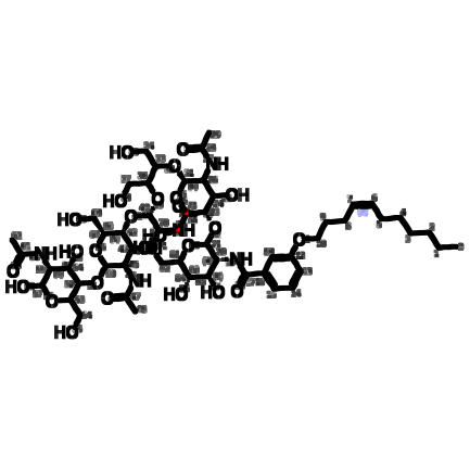 CCCCCC/C=C\CCCOc1cccc(C(=O)N[C@H]2C(O[C@H]3C(O)C(NC(C)=O)[C@H](OC(CO)C(CO)O[C@@H](O[C@H]4C(O)C(NC(C)=O)C(OC5C(CO)OC(O)[C@@H](NC(C)=O)[C@H]5O)O[C@H]4CO)[C@H](C)NC(C)=O)O[C@H]3CO)OC(CO)[C@@H](O)[C@@H]2O)c1